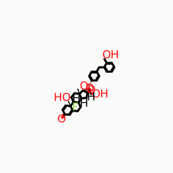 C[C@]12C=CC(=O)C=C1CC[C@H]1[C@@H]3C[C@H]4O[C@@H](c5ccc(Cc6ccccc6CO)cc5)O[C@@]4(C(=O)CO)[C@@]3(C)C[C@H](O)[C@@]12F